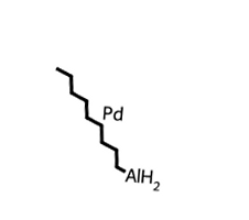 CCCCCCCC[CH2][AlH2].[Pd]